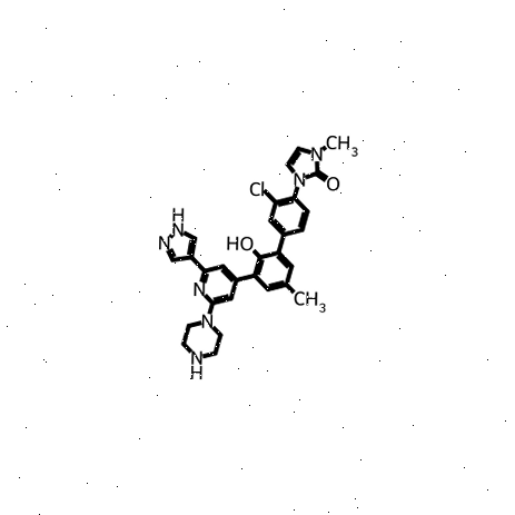 Cc1cc(-c2cc(-c3cn[nH]c3)nc(N3CCNCC3)c2)c(O)c(-c2ccc(-n3ccn(C)c3=O)c(Cl)c2)c1